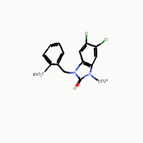 CCOC(=O)c1ccccc1Cn1c(=O)n(C(=O)O)c2cc(Cl)c(Cl)cc21